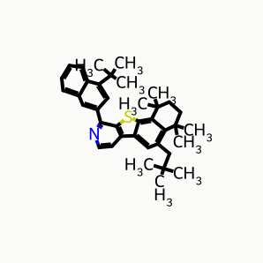 CC(C)(C)Cc1cc2c(sc3c(-c4cc(C(C)(C)C)c5ccccc5c4)nccc32)c2c1C(C)(C)CCC2(C)C